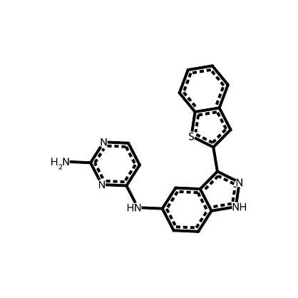 Nc1nccc(Nc2ccc3[nH]nc(-c4cc5ccccc5s4)c3c2)n1